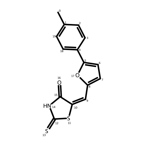 Cc1ccc(-c2ccc(C=C3SC(=S)NC3=O)o2)cc1